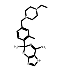 CCN1CCN(Cc2ccc(C3(N)N=C(N)c4[nH]cnc4N3)c(C)c2)CC1